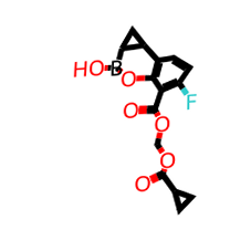 O=C(OCOC(=O)C1CC1)c1c(F)ccc2c1OB(O)C1CC21